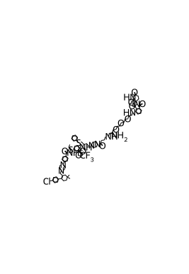 C/C=S(/NC(=O)c1ccc(N2CCN(CC3=C(c4ccc(Cl)cc4)CCC(C)(C)C3)CC2)cc1)c1ccc(N[C@H](CCN2CCN(C(=O)CCCN/C=C(\N)COCCOCCOCCNc3cccc4c3C(=O)N(C3CCC(=O)NC3=O)C4=O)CC2)CSc2ccccc2)c(S(=O)(=O)C(F)(F)F)c1